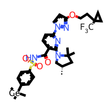 C[C@@H]1CN(c2nc(-n3ccc(OCCC4(C(F)(F)F)CC4)n3)ccc2C(=O)NS(=O)(=O)c2cc[c]([Ge]([CH3])([CH3])[CH3])cc2)C(C)(C)C1